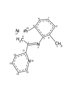 CC(=Nc1c(C)cccc1C(C)C)c1ccccn1.[Ni]